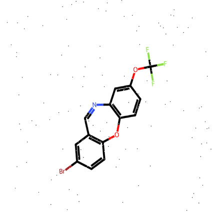 FC(F)(F)Oc1ccc2c(c1)N=Cc1cc(Br)ccc1O2